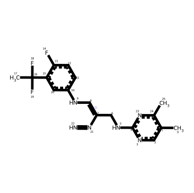 Cc1cnc(NC/C(=C/Nc2ccc(F)c(C(C)(F)F)c2)N=N)nc1C